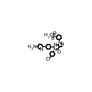 CS(=O)(=O)c1cccc(-n2ncc3c(=O)n(-c4ccc(Cl)cc4)c(-c4ccc(-c5ccc(N)cn5)cc4)nc32)c1